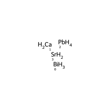 [BiH3].[CaH2].[PbH4].[SrH2]